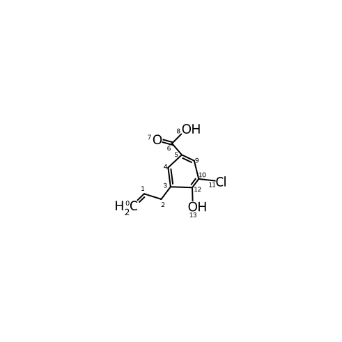 C=CCc1cc(C(=O)O)cc(Cl)c1O